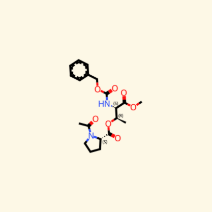 COC(=O)[C@@H](NC(=O)OCc1ccccc1)[C@@H](C)OC(=O)[C@@H]1CCCN1C(C)=O